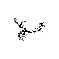 CN(C)/C=N\c1nc2c(c(C#CCOCSSC(C)(C)CNC(=O)C(F)(F)F)cn2[C@H]2CC(OCN=[N+]=[N-])[C@@H](CO)O2)c(=O)[nH]1